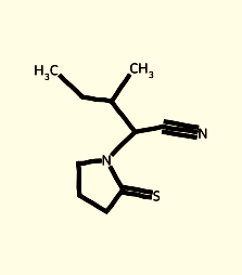 CCC(C)C(C#N)N1CCCC1=S